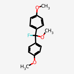 COc1ccc(C(F)(OC)c2ccc(OC)cc2)cc1